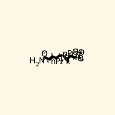 CCC[N+](CCC)(CCC=CC(N)=O)C(C)CCS(=O)(=O)[O-]